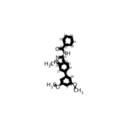 COc1cc(OC)cc(-c2ccc3c(NC(=O)c4ccccc4)nn(C)c3c2)c1